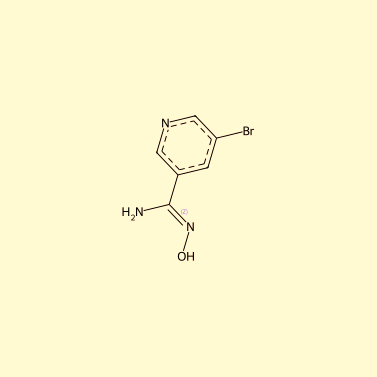 N/C(=N\O)c1cncc(Br)c1